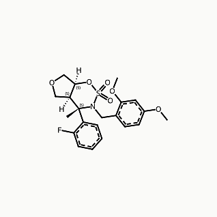 COc1ccc(CN2[C@](C)(c3ccccc3F)[C@H]3COC[C@H]3OS2(=O)=O)c(OC)c1